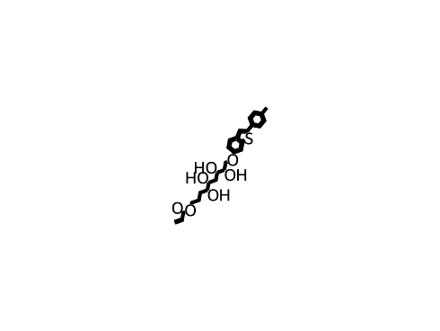 C=CC(=O)OCCCC(O)C(O)CC(O)C(O)COc1ccc2cc(-c3ccc(C)cc3)sc2c1